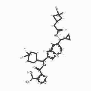 C[C@@H](O)c1nonc1C(=O)N[C@H](c1cn2ncc([C@H](NC(=O)CC3CC(F)(F)C3)C3CC3)cc2n1)C1CCC(F)(F)CC1